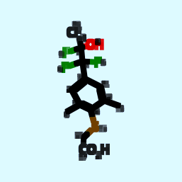 Cc1cc(C(F)(F)C(O)(F)C(F)(F)F)cc(C)c1SCC(=O)O